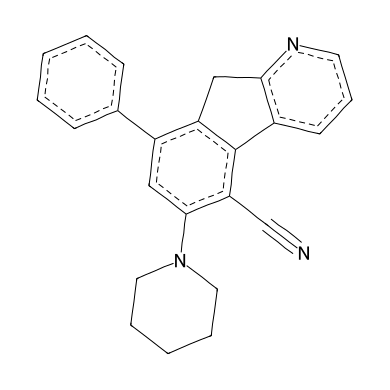 N#Cc1c(N2CCCCC2)cc(-c2ccccc2)c2c1-c1cccnc1C2